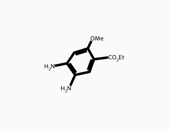 CCOC(=O)c1cc(N)c(N)cc1OC